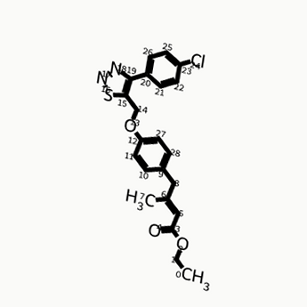 CCOC(=O)/C=C(\C)Cc1ccc(OCc2snnc2-c2ccc(Cl)cc2)cc1